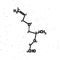 C=CCOCC(C)OCC=O